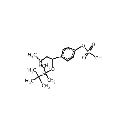 CNCC(O[Si](C)(C)C(C)(C)C)c1ccc(OS(=O)(=O)O)cc1